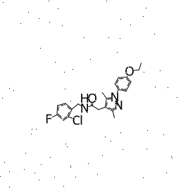 CCOc1ccc(-n2nc(C)c(CC(=O)NCc3ccc(F)cc3Cl)c2C)cc1